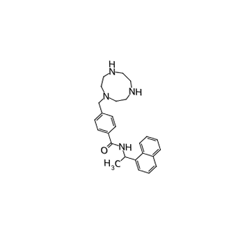 CC(NC(=O)c1ccc(CN2CCNCCNCC2)cc1)c1cccc2ccccc12